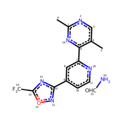 Cc1ncc(C)c(-c2cc(-c3noc(C(F)(F)F)n3)ccn2)n1.NC=O